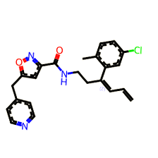 C=C/C=C(/CCNC(=O)c1cc(Cc2ccncc2)on1)c1cc(Cl)ccc1C